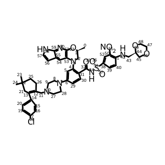 C[C@H]1CN(c2cc(N3CCN(CC4=C(c5ccc(Cl)cc5)CC(C)(C)CC4)CC3)ccc2C(=O)NS(=O)(=O)c2ccc(NC[C@@H]3COCCO3)c([N+](=O)[O-])c2)c2cc3cc[nH]c3nc2O1